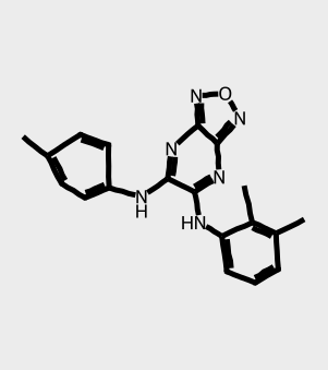 Cc1ccc(Nc2nc3nonc3nc2Nc2cccc(C)c2C)cc1